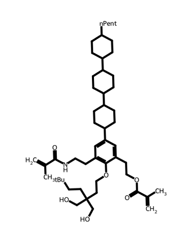 C=C(C)C(=O)NCCc1cc(C2CCC(C3CCC(C4CCC(CCCCC)CC4)CC3)CC2)cc(CCOC(=O)C(=C)C)c1OCCC(CO)(CO)CCC(C)(C)C